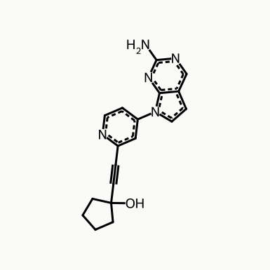 Nc1ncc2ccn(-c3ccnc(C#CC4(O)CCCC4)c3)c2n1